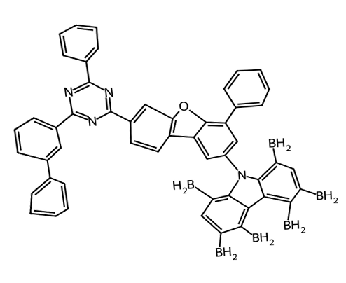 Bc1cc(B)c2c(c1B)c1c(B)c(B)cc(B)c1n2-c1cc(-c2ccccc2)c2oc3cc(-c4nc(-c5ccccc5)nc(-c5cccc(-c6ccccc6)c5)n4)ccc3c2c1